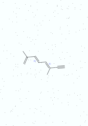 C#C/C(C)=C/C=C/C(=C)C